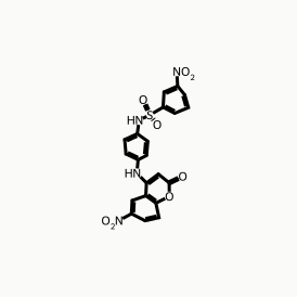 O=c1cc(Nc2ccc(NS(=O)(=O)c3cccc([N+](=O)[O-])c3)cc2)c2cc([N+](=O)[O-])ccc2o1